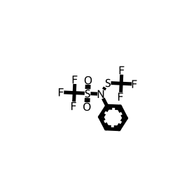 O=S(=O)(N(SC(F)(F)F)c1ccccc1)C(F)(F)F